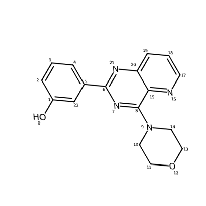 Oc1cccc(-c2nc(N3CCOCC3)c3ncccc3n2)c1